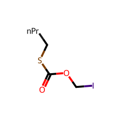 CCCCSC(=O)OCI